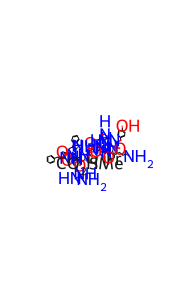 CSCC[C@H](NC(=O)CNC(=O)[C@H](Cc1c[nH]cn1)NC(=O)[C@H](CC(C)C)NC(=O)[C@H](CCCCN)NC(=O)[C@@H](N)Cc1ccc(O)cc1)C(=O)N[C@@H](CCCNC(=N)N)C(=O)N[C@@H](Cc1c[nH]c2ccccc12)C(=O)N[C@@H](Cc1ccccc1)C(=O)O